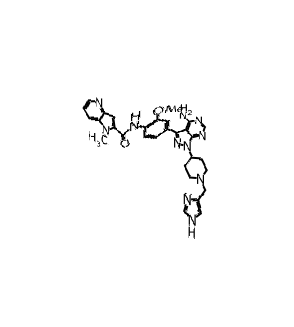 COc1cc(-c2nn(C3CCN(Cc4c[nH]cn4)CC3)c3ncnc(N)c23)ccc1NC(=O)c1cc2ncccc2n1C